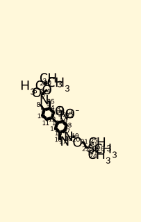 CC(C)(C)OC(=O)N1Cc2ccc(-c3cc4cnn(COCC[Si](C)(C)C)c4cc3[N+](=O)[O-])cc2C1